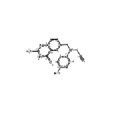 C#CCN(Cc1ccc2nc(N)[nH]c(=O)c2c1)c1ccc(C(C)C)cc1